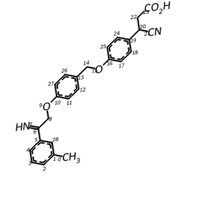 Cc1cccc(C(=N)COc2ccc(COc3ccc(C(C#N)CC(=O)O)cc3)cc2)c1